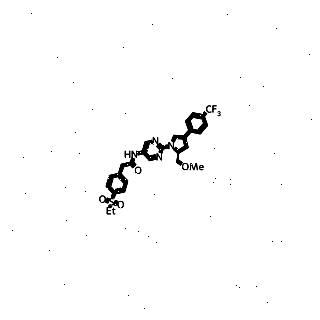 CCS(=O)(=O)c1ccc(CC(=O)Nc2cnc(N3CC(c4ccc(C(F)(F)F)cc4)C[C@H]3COC)nc2)cc1